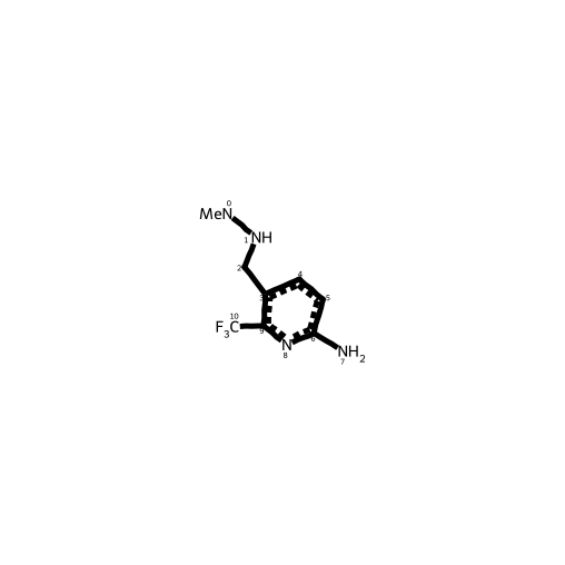 CNNCc1ccc(N)nc1C(F)(F)F